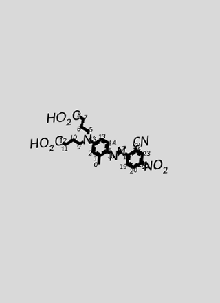 Cc1cc(N(CCCC(=O)O)CCCC(=O)O)ccc1/N=N/c1ccc([N+](=O)[O-])cc1C#N